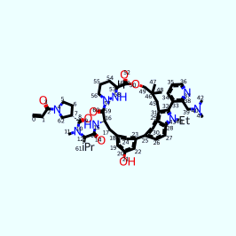 C=CC(=O)N1CC[C@H](C(=O)N(C)C(C(=O)N[C@H]2Cc3cc(O)cc(c3)-c3ccc4c(c3)c(c(-c3cccnc3CN(C)C)n4CC)CC(C)(C)COC(=O)[C@@H]3CCCN(N3)C2=O)C(C)C)C1